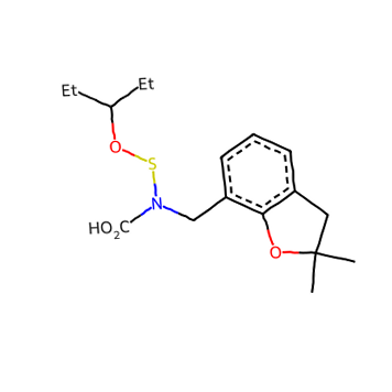 CCC(CC)OSN(Cc1cccc2c1OC(C)(C)C2)C(=O)O